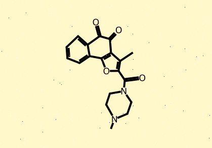 Cc1c(C(=O)N2CCN(C)CC2)oc2c1C(=O)C(=O)c1ccccc1-2